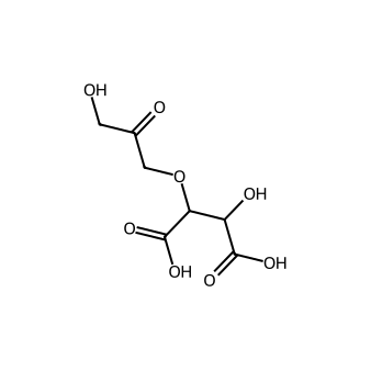 O=C(CO)COC(C(=O)O)C(O)C(=O)O